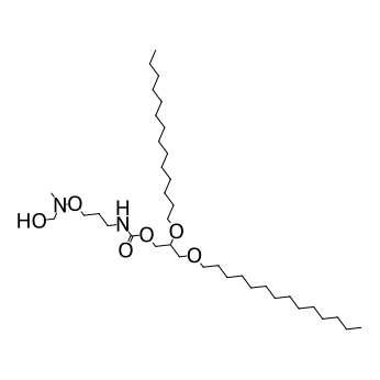 CCCCCCCCCCCCCCOCC(COC(=O)NCCCON(C)CO)OCCCCCCCCCCCCCC